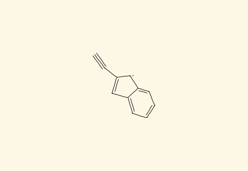 C#CC1=Cc2ccccc2[CH]1